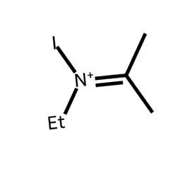 CC[N+](I)=C(C)C